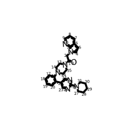 O=C(Cn1ccc2cccnc21)N1CCN(c2ccccc2-c2cnc(N3CCCCC3)nc2)CC1